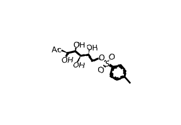 CC(=O)[C@H](O)[C@@H](O)[C@H](O)[C@H](O)COS(=O)(=O)c1ccc(C)cc1